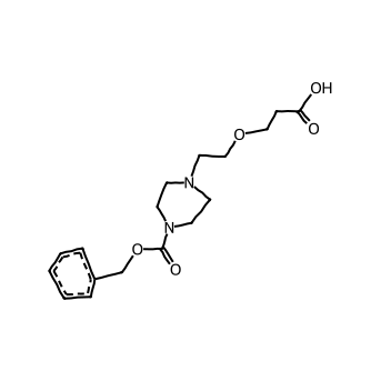 O=C(O)CCOCCN1CCN(C(=O)OCc2ccccc2)CC1